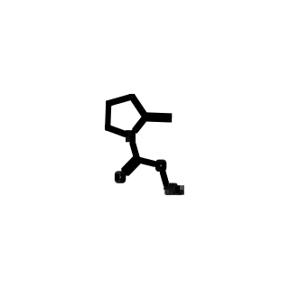 C=C1CCCN1C(=O)OC(C)(C)C